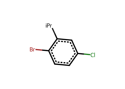 CC(C)c1cc(Cl)ccc1Br